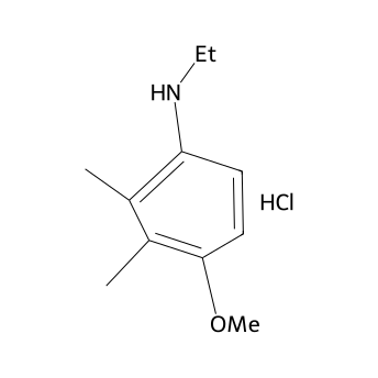 CCNc1ccc(OC)c(C)c1C.Cl